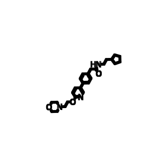 O=C(Cc1ccc(-c2ccc(OCCN3CCOCC3)nc2)cc1)NCCC1CCCC1